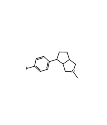 CN1CC2CCC(c3ccc(F)cc3)C2C1